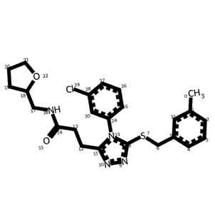 Cc1cccc(CSc2nnc(CCC(=O)NCC3CCCO3)n2-c2cccc(Cl)c2)c1